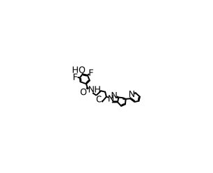 O=C(NCC1CCC(n2cc3ccc(-c4ccccn4)cc3n2)CC1)c1cc(F)c(O)c(F)c1